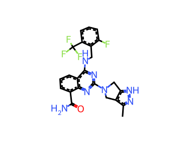 Cc1n[nH]c2c1CN(c1nc(NCc3c(F)cccc3C(F)(F)F)c3cccc(C(N)=O)c3n1)C2